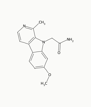 COc1ccc2c3ccnc(C)c3n(CC(N)=O)c2c1